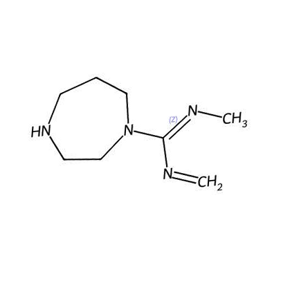 C=N/C(=N\C)N1CCCNCC1